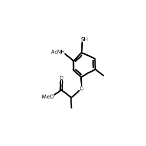 COC(=O)C(C)Oc1cc(NC(C)=O)c(S)cc1C